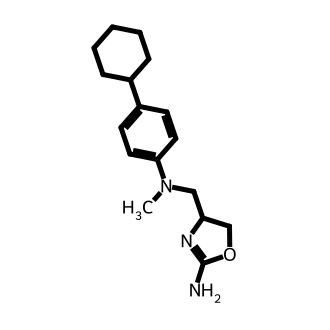 CN(CC1COC(N)=N1)c1ccc(C2CCCCC2)cc1